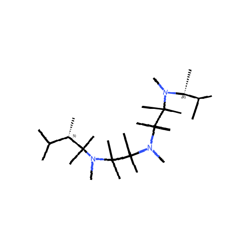 CC(C)[C@@H](C)N(C)C(C)(C)C(C)(C)N(C)C(C)(C)C(C)(C)N(C)C(C)(C)[C@@H](C)C(C)C